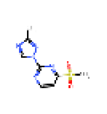 Cc1ncn(-c2nccc(S(C)(=O)=O)n2)n1